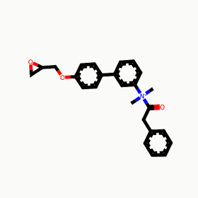 C[N+](C)(C(=O)Cc1ccccc1)c1cccc(-c2ccc(OCC3CO3)cc2)c1